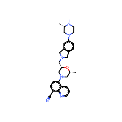 C[C@@H]1CN(c2ccc(C#N)c3ncccc23)C[C@H](CN2Cc3ccc(N4CCN[C@@H](C)C4)cc3C2)O1